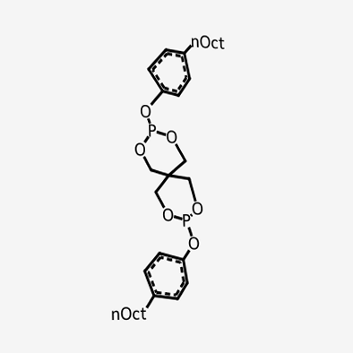 CCCCCCCCc1ccc(OP2OCC3(CO2)COP(Oc2ccc(CCCCCCCC)cc2)OC3)cc1